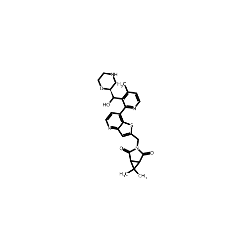 Cc1ccnc(-c2ccnc3cc(CN4C(=O)C5C(C4=O)C5(C)C)sc23)c1C(O)[C@@H]1CNCCO1